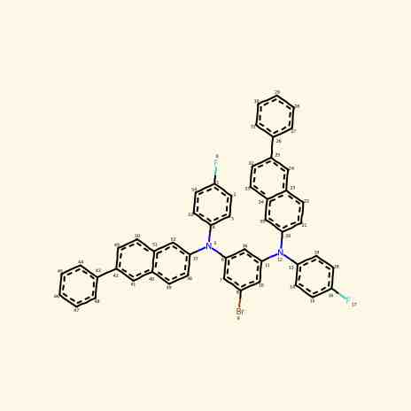 Fc1ccc(N(c2cc(Br)cc(N(c3ccc(F)cc3)c3ccc4cc(-c5ccccc5)ccc4c3)c2)c2ccc3cc(-c4ccccc4)ccc3c2)cc1